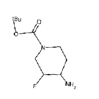 CC(C)(C)OC(=O)N1CCC(N)C(F)C1